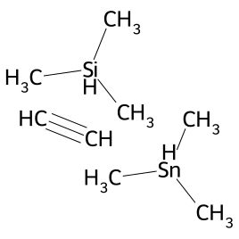 C#C.C[SiH](C)C.[CH3][SnH]([CH3])[CH3]